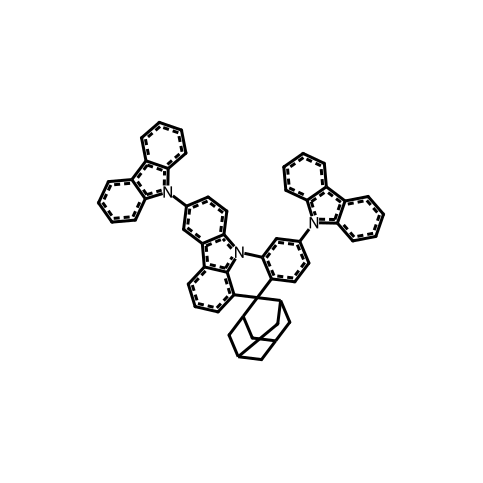 c1ccc2c(c1)c1ccccc1n2-c1ccc2c(c1)-n1c3ccc(-n4c5ccccc5c5ccccc54)cc3c3cccc(c31)C21C2CC3CC(C2)CC1C3